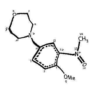 COc1ccc(N2CCOCC2)cc1[N+](C)=O